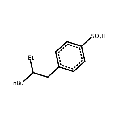 CCCCC(CC)Cc1ccc(S(=O)(=O)O)cc1